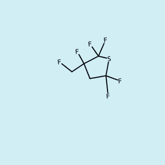 FCC1(F)CC(F)(F)SC1(F)F